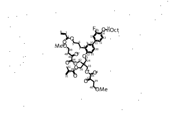 C=CC(=O)OCCCc1cc(-c2ccc(OCCCCCCCC)c(F)c2)ccc1OCC(COC(=O)C(=C)C)(COC(=O)C(=O)CCOC)COC(=O)C(=O)CCOC